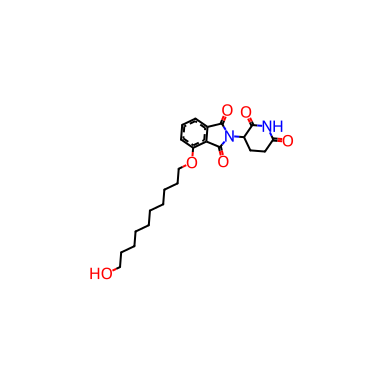 O=C1CCC(N2C(=O)c3cccc(OCCCCCCCCCCO)c3C2=O)C(=O)N1